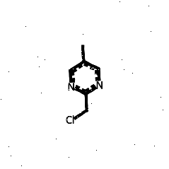 Cc1cnc(CCl)nc1